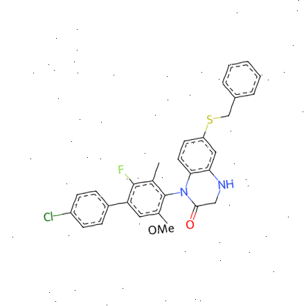 COc1cc(-c2ccc(Cl)cc2)c(F)c(C)c1N1C(=O)CNc2cc(SCc3ccccc3)ccc21